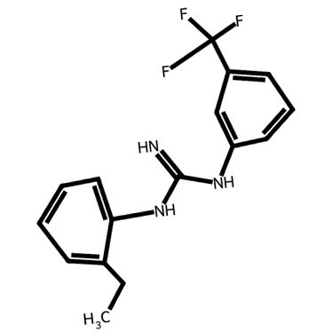 CCc1ccccc1NC(=N)Nc1cccc(C(F)(F)F)c1